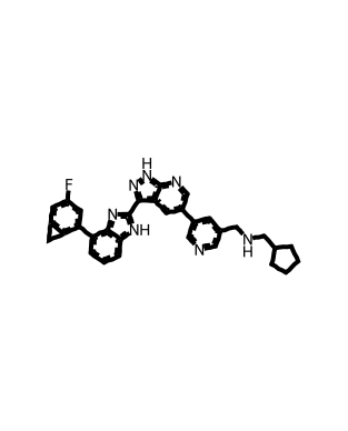 Fc1cc2c(c(-c3cccc4[nH]c(-c5n[nH]c6ncc(-c7cncc(CNCC8CCCC8)c7)cc56)nc34)c1)C2